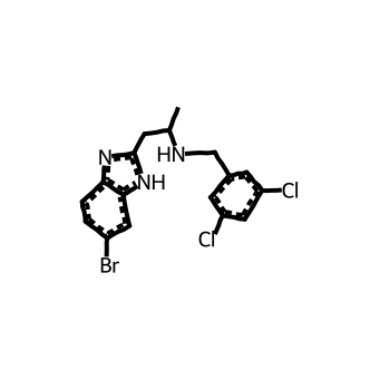 CC(Cc1nc2ccc(Br)cc2[nH]1)NCc1cc(Cl)cc(Cl)c1